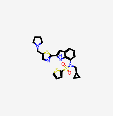 O=S(=O)(c1cccs1)N(CC1CC1)c1cccc2cc(-c3ncc(CN4CCCC4)s3)[nH]c12